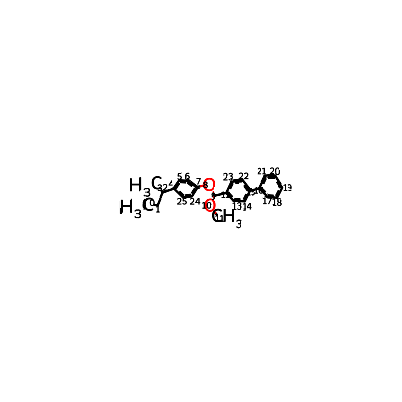 CCC(C)c1ccc(OC(OC)c2ccc(-c3ccccc3)cc2)cc1